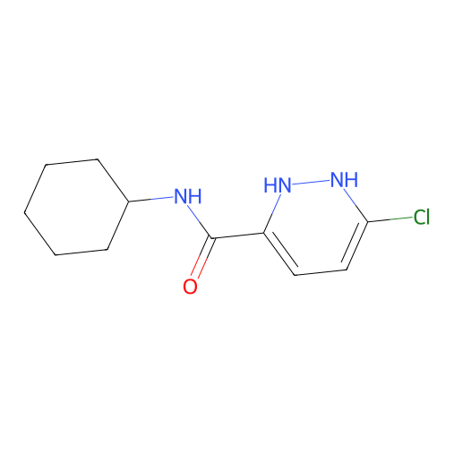 O=C(NC1CCCCC1)C1=CC=C(Cl)NN1